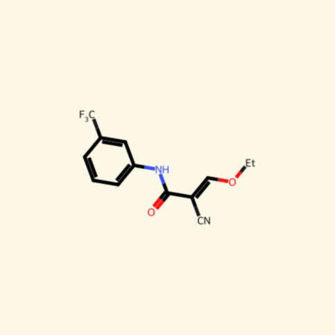 CCOC=C(C#N)C(=O)Nc1cccc(C(F)(F)F)c1